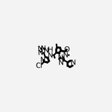 Cc1cc(C(C)Nc2ccc(Cl)nc2-c2nnn(C)n2)c2c(c1)c(=O)n(C)c1c(-c3cccnc3)ncn21